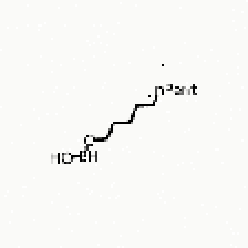 CCCCCCCCCCOBO